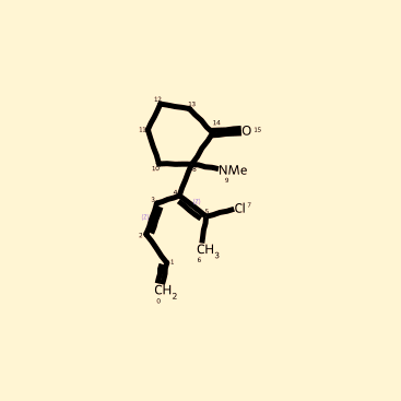 C=C/C=C\C(=C(/C)Cl)C1(NC)CCCCC1=O